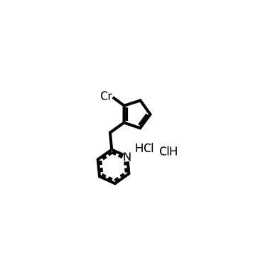 Cl.Cl.[Cr][C]1=C(Cc2ccccn2)C=CC1